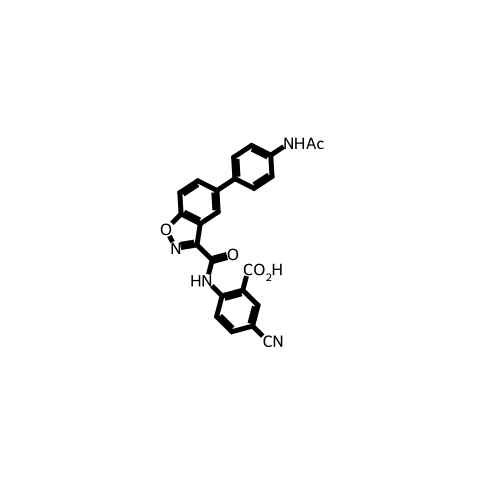 CC(=O)Nc1ccc(-c2ccc3onc(C(=O)Nc4ccc(C#N)cc4C(=O)O)c3c2)cc1